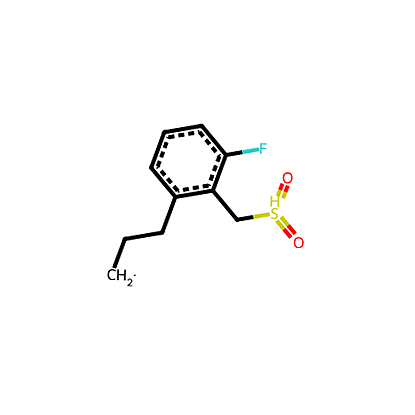 [CH2]CCc1cccc(F)c1C[SH](=O)=O